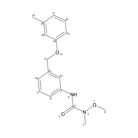 CON(C)C(=O)Nc1cccc(COc2cccc(C)c2)c1